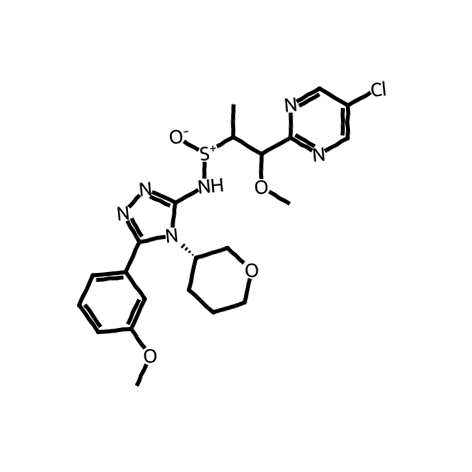 COc1cccc(-c2nnc(N[S+]([O-])C(C)C(OC)c3ncc(Cl)cn3)n2[C@H]2CCCOC2)c1